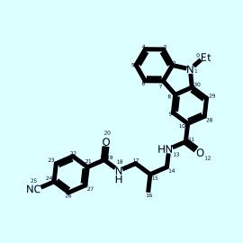 CCn1c2ccccc2c2cc(C(=O)NCC(C)CNC(=O)c3ccc(C#N)cc3)ccc21